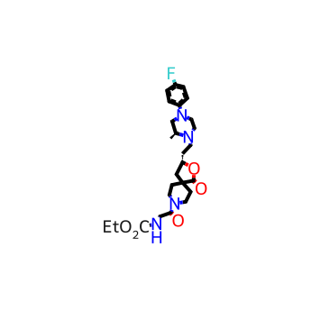 CCOC(=O)NCC(=O)N1CCC2(CC1)C[C@H](CCN1CCN(c3ccc(F)cc3)C[C@@H]1C)OC2=O